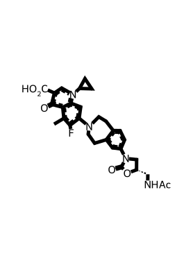 CC(=O)NC[C@H]1CN(c2ccc3c(c2)CCN(c2cc4c(c(C)c2F)c(=O)c(C(=O)O)cn4C2CC2)CC3)C(=O)O1